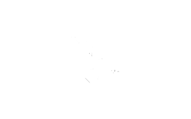 COc1ccccc1C(=O)N1CCC(=O)CC1